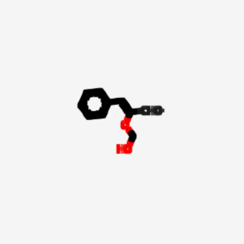 O=[C]C(=Cc1ccccc1)OCO